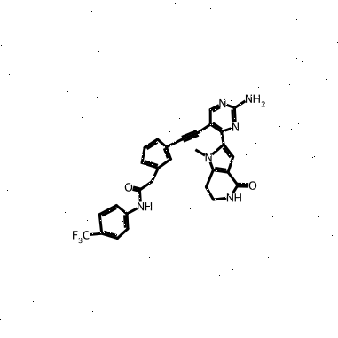 Cn1c(-c2nc(N)ncc2C#Cc2cccc(CC(=O)Nc3ccc(C(F)(F)F)cc3)c2)cc2c1CCNC2=O